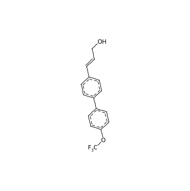 OCC=Cc1ccc(-c2ccc(OC(F)(F)F)cc2)cc1